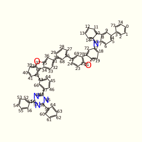 c1ccc(-c2ccc3c(c2)c2ccccc2n3-c2ccc3oc4ccc(-c5cccc(-c6ccc7c(c6)oc6cccc(-c8cccc(-c9nc(-c%10ccccc%10)nc(-c%10ccccc%10)n9)c8)c67)c5)cc4c3c2)cc1